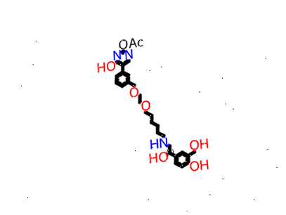 CC(=O)Oc1ncc(-c2cccc(COCCOCCCCCCNC[C@H](O)c3ccc(O)c(CO)c3)c2)c(O)n1